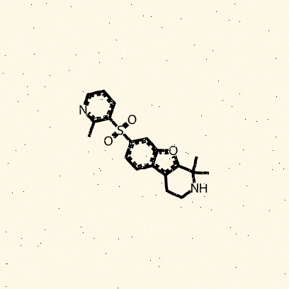 Cc1ncccc1S(=O)(=O)c1ccc2c3c(oc2c1)C(C)(C)NCC3